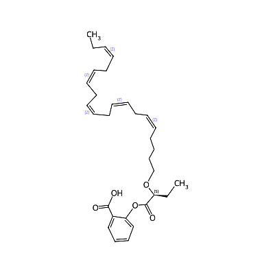 CC/C=C\C/C=C\C/C=C\C/C=C\C/C=C\CCCCO[C@@H](CC)C(=O)Oc1ccccc1C(=O)O